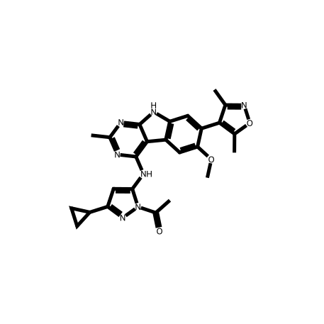 COc1cc2c(cc1-c1c(C)noc1C)[nH]c1nc(C)nc(Nc3cc(C4CC4)nn3C(C)=O)c12